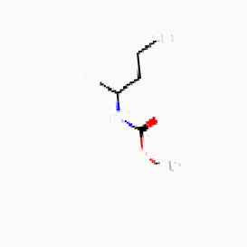 CCCCOC(=O)NC(CC)CCC(C)C